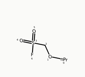 CCCOCS(=O)(=O)F